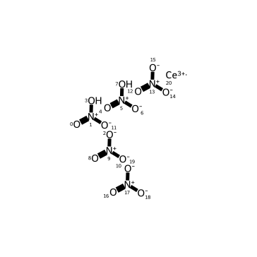 O=[N+]([O-])O.O=[N+]([O-])O.O=[N+]([O-])[O-].O=[N+]([O-])[O-].O=[N+]([O-])[O-].[Ce+3]